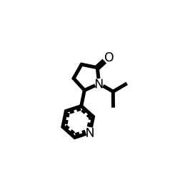 CC(C)N1C(=O)CCC1c1cccnc1